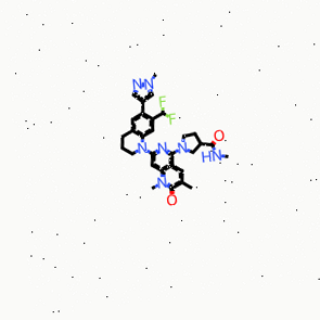 CNC(=O)C1CCN(c2nc(N3CCCc4cc(-c5cnn(C)c5)c(C(F)F)cc43)cc3c2cc(C)c(=O)n3C)C1